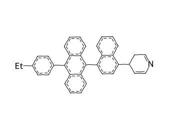 CCc1ccc(-c2c3ccccc3c(-c3ccc(C4C=CN=CC4)c4ccccc34)c3ccccc23)cc1